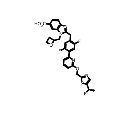 O=C(O)c1ccc2nc(Cc3cc(F)c(-c4cccc(OCc5ncc(C(F)F)s5)n4)cc3F)n(CC3CCO3)c2c1